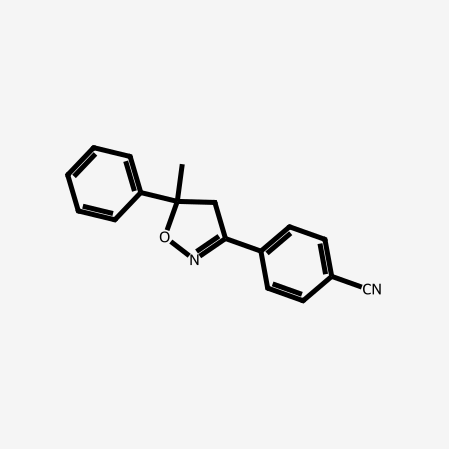 CC1(c2ccccc2)CC(c2ccc(C#N)cc2)=NO1